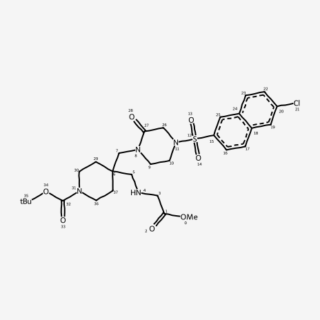 COC(=O)CNCC1(CN2CCN(S(=O)(=O)c3ccc4cc(Cl)ccc4c3)CC2=O)CCN(C(=O)OC(C)(C)C)CC1